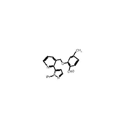 Cc1ccc(C=O)c(OCc2cccnc2-c2ccnn2C(C)C)c1